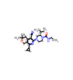 CCNC(=O)N1CCN(c2nc(C3CC3)c3c(c2C#N)CC(C)(C)OC3)C[C@H]1C(C)C